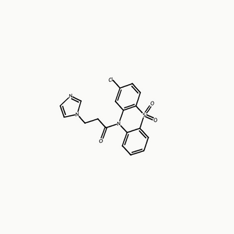 O=C(CCn1ccnc1)N1c2ccccc2S(=O)(=O)c2ccc(Cl)cc21